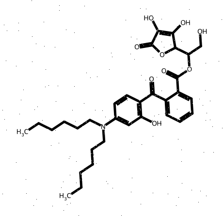 CCCCCCN(CCCCCC)c1ccc(C(=O)c2ccccc2C(=O)OC(CO)C2OC(=O)C(O)=C2O)c(O)c1